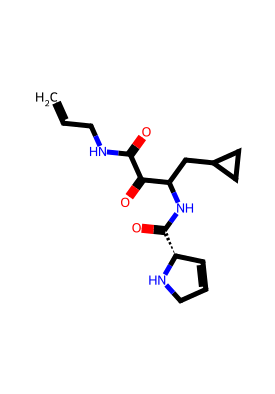 C=CCNC(=O)C(=O)C(CC1CC1)NC(=O)[C@@H]1C=CCN1